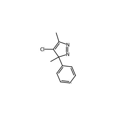 CC1=C(Cl)C(C)(c2cc[c]cc2)N=N1